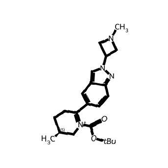 C[C@H]1CCC(c2ccc3nn(C4CN(C)C4)cc3c2)=[N+](C(=O)OC(C)(C)C)C1